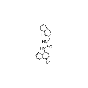 O=C(NCC1CCc2ccccc2N1)Nc1ccc(Br)c2ccccc12